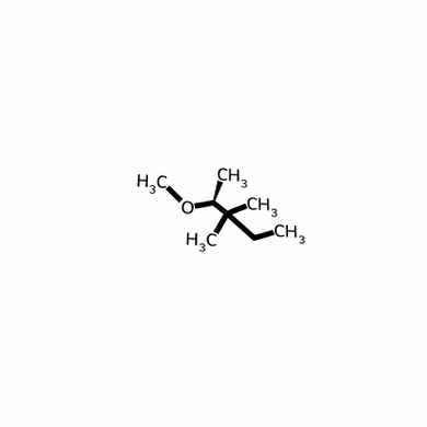 CCC(C)(C)[C@H](C)OC